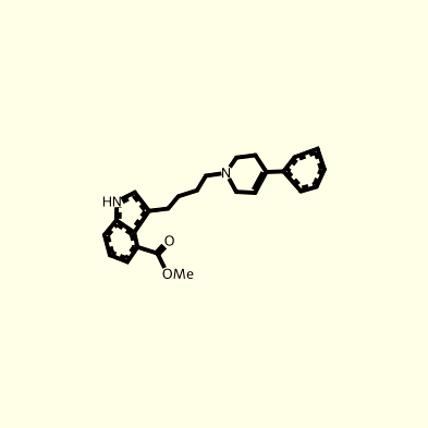 COC(=O)c1cccc2[nH]cc(CCCCN3CC=C(c4ccccc4)CC3)c12